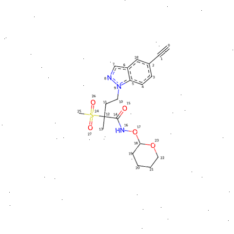 C#Cc1ccc2c(cnn2CCC(C)(C(=O)NOC2CCCCO2)S(C)(=O)=O)c1